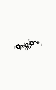 NCc1cc(F)c(-n2cnc(OCc3ccc(F)cc3F)c(Cl)c2=O)c(F)c1